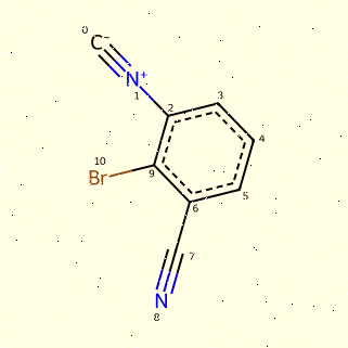 [C-]#[N+]c1cccc(C#N)c1Br